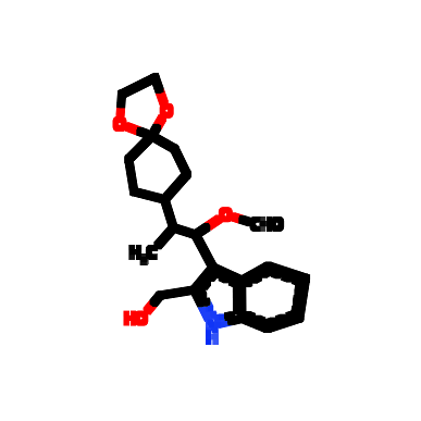 CC(C1CCC2(CC1)OCCO2)C(OC=O)c1c(CO)[nH]c2ccccc12